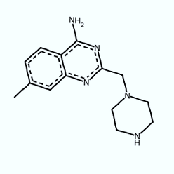 Cc1ccc2c(N)nc(CN3CCNCC3)nc2c1